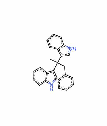 CC(Cc1ccccc1)(c1c[nH]c2ccccc12)c1c[nH]c2ccccc12